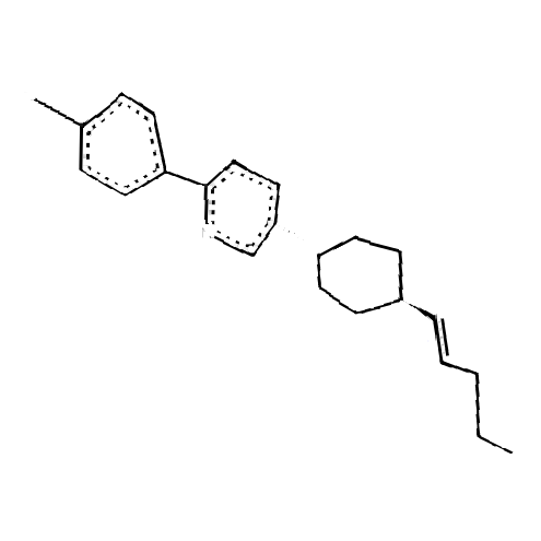 CCC/C=C/[C@H]1CC[C@H](c2ccc(-c3ccc(Cl)cc3)nc2)CC1